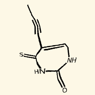 CC#Cc1c[nH]c(=O)[nH]c1=S